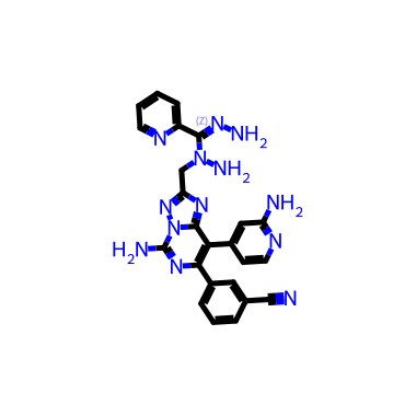 N#Cc1cccc(-c2nc(N)n3nc(CN(N)/C(=N\N)c4ccccn4)nc3c2-c2ccnc(N)c2)c1